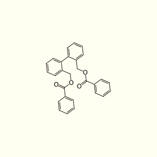 O=C(OCc1ccccc1-c1ccccc1COC(=O)c1ccccc1)c1ccccc1